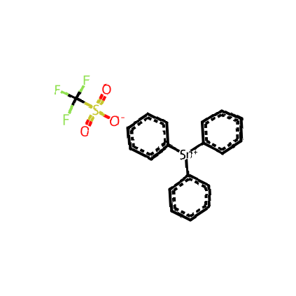 O=S(=O)([O-])C(F)(F)F.c1cc[c]([Sn+]([c]2ccccc2)[c]2ccccc2)cc1